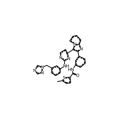 Cc1ccc(C(=O)Nc2cccc(-c3nc4ccccn4c3-c3ccnc(Nc4cccc(Cn5cncn5)c4)n3)c2)s1